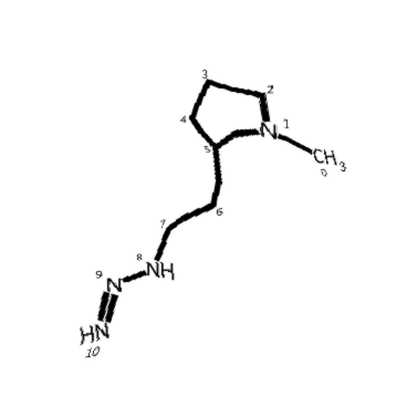 CN1CCCC1CCNN=N